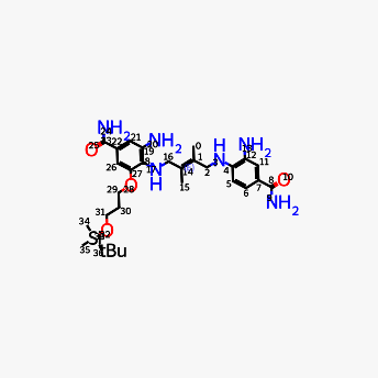 C/C(CNc1ccc(C(N)=O)cc1N)=C(/C)CNc1c(N)cc(C(N)=O)cc1OCCCO[Si](C)(C)C(C)(C)C